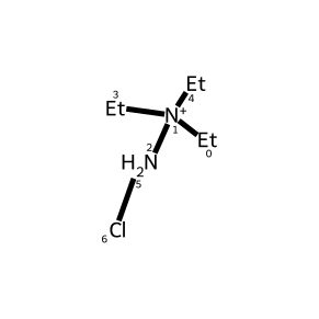 CC[N+](N)(CC)CC.CCl